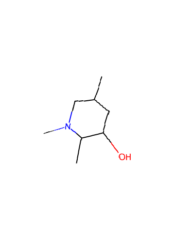 CC1CC(O)C(C)N(C)C1